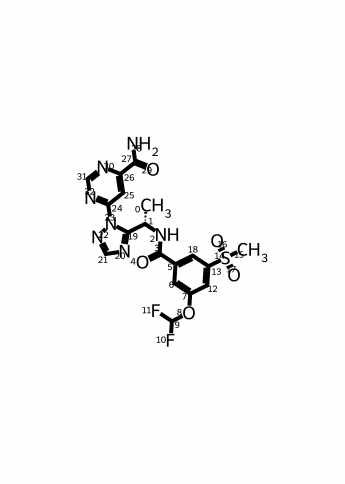 C[C@H](NC(=O)c1cc(OC(F)F)cc(S(C)(=O)=O)c1)c1ncnn1-c1cc(C(N)=O)ncn1